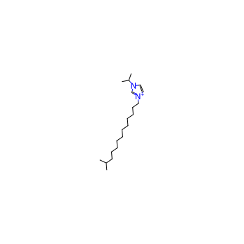 CC(C)CCCCCCCCCCC[n+]1ccn(C(C)C)c1